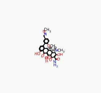 CO/N=C/c1ccc(OC)c(-c2ccc(O)c3c2C[C@H]2C[C@H]4[C@H](N(C)C)C(O)=C(C(N)=O)C(=O)[C@@]4(O)C(O)=C2C3=O)c1